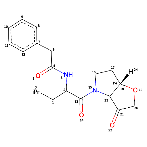 CC(C)CC(NC(=O)Cc1ccccc1)C(=O)N1CC[C@@H]2OCC(=O)C21